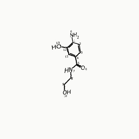 Nc1ccc(C(=O)NCCO)cc1O